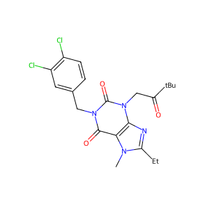 CCc1nc2c(c(=O)n(Cc3ccc(Cl)c(Cl)c3)c(=O)n2CC(=O)C(C)(C)C)n1C